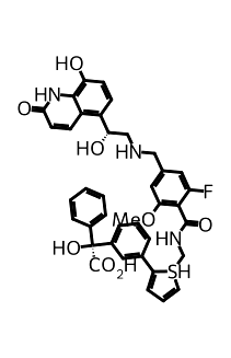 COc1cc(CNC[C@H](O)c2ccc(O)c3[nH]c(=O)ccc23)cc(F)c1C(=O)NC[SH]1C=CC=C1c1cccc([C@](O)(C(=O)O)c2ccccc2)c1